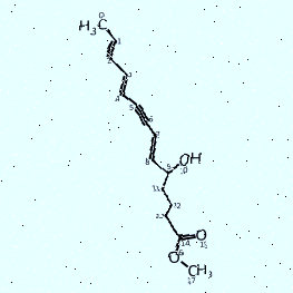 C/C=C/C=C/C#C/C=C/C(O)CCCC(=O)OC